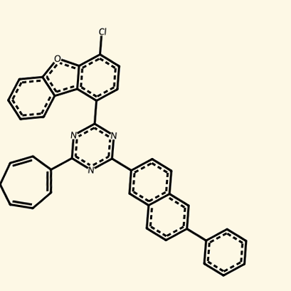 Clc1ccc(-c2nc(C3=CC=CCC=C3)nc(-c3ccc4cc(-c5ccccc5)ccc4c3)n2)c2c1oc1ccccc12